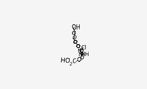 O=C(O)C[C@H]1CC[C@H](Oc2nc3nc(-c4ccc(-c5ccc(COCCOCCO)cc5)cc4)c(Cl)cc3[nH]2)CC1